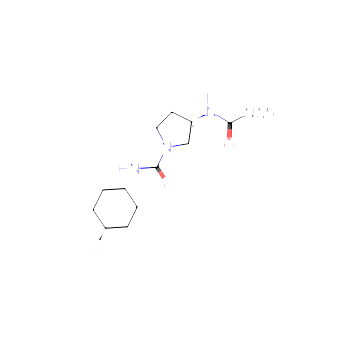 CNC(=O)N[C@@H]1CCN(C(=O)N[C@H]2CC[C@H](C)CC2)C1